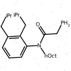 CCCCCCCCN(C(=O)CP)c1cccc(CC(C)C)c1CC(C)C